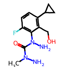 CN(N)C(=O)N(N)c1c(F)ccc(C2CC2)c1CO